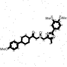 COc1ccc(C2CCC(C(=O)C[S+]([O-])Cc3nc(-c4ccc(OC)c(OC)c4)oc3C)CC2)cc1